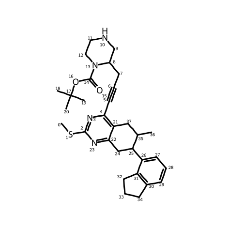 CSc1nc(C#CCC2CNCCN2C(=O)OC(C)(C)C)c2c(n1)CC(c1cccc3c1CCC3)C(C)C2